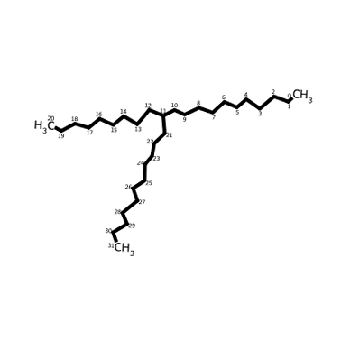 CCCCCCCCCCCC(CCCCCCCCC)CCCCCCCCCCC